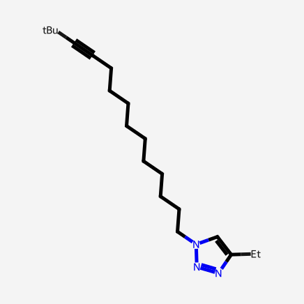 CCc1cn(CCCCCCCCCCC#CC(C)(C)C)nn1